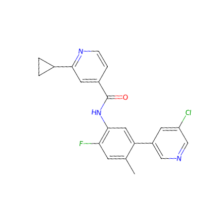 Cc1cc(F)c(NC(=O)c2ccnc(C3CC3)c2)cc1-c1cncc(Cl)c1